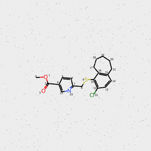 COC(=O)c1ccc(CSc2c(Cl)ccc3c2CCCCC3)nc1